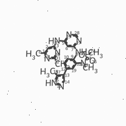 Cc1cc(Nc2cc(Nc3ccc(-c4cn[nH]c4C)cc3N(C)S(C)(=O)=O)ncn2)nc(C)n1